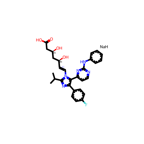 CC(C)c1nc(-c2ccc(F)cc2)c(-c2ccnc(Nc3ccccc3)n2)n1/C=C/[C@H](O)C[C@H](O)CC(=O)O.[NaH]